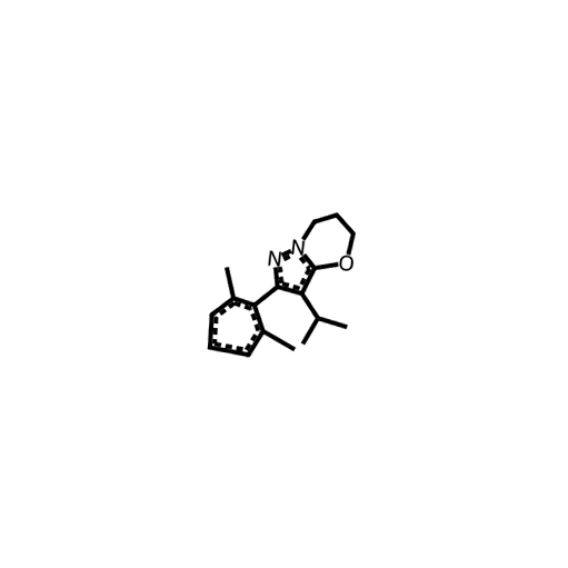 Cc1cccc(C)c1-c1nn2c(c1C(C)C)OCCC2